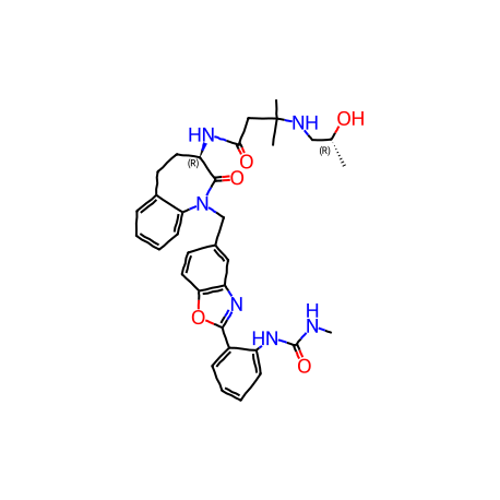 CNC(=O)Nc1ccccc1-c1nc2cc(CN3C(=O)[C@H](NC(=O)CC(C)(C)NC[C@@H](C)O)CCc4ccccc43)ccc2o1